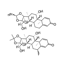 CC1(C)O[C@@H]2C[C@H]3[C@@H]4C[C@H](F)C5=CC(=O)C=C[C@]5(C)[C@H]4[C@@H](O)C[C@]3(C)[C@]2(C(=O)CO)O1.CCC[C@@H]1O[C@@H]2C[C@H]3[C@@H]4CCC5=CC(=O)C=C[C@]5(C)[C@H]4[C@@H](O)C[C@]3(C)[C@]2(C(=O)CO)O1